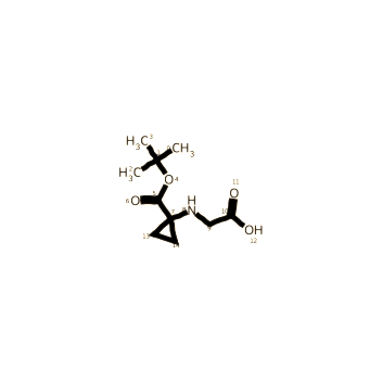 CC(C)(C)OC(=O)C1(NCC(=O)O)CC1